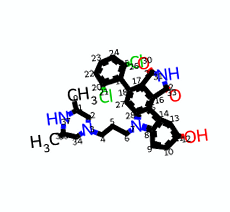 CC1CN(CCCn2c3ccc(O)cc3c3c4c(c(-c5c(Cl)cccc5Cl)cc32)C(=O)NC4=O)CC(C)N1